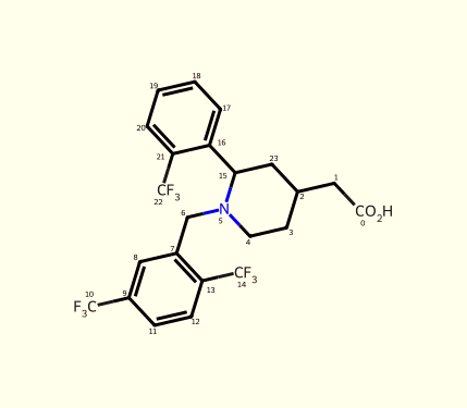 O=C(O)CC1CCN(Cc2cc(C(F)(F)F)ccc2C(F)(F)F)C(c2ccccc2C(F)(F)F)C1